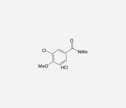 CNC(=O)c1ccc(OC)c(Cl)c1.Cl